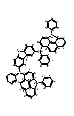 c1ccc(N(c2ccc3sc4ccc(N(c5ccccc5)c5ccc6c7c5ccc5cccc(c57)n6-c5ccccc5)cc4c3c2)c2ccc3c4c2ccc2cccc(c24)n3-c2ccccc2)cc1